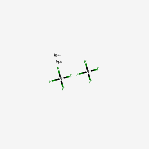 F[B-](F)(F)F.F[B-](F)(F)F.[In+3].[In+3]